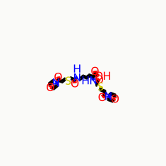 O=C(CSCCC(=O)N1CCOCC1)NCCCCC(NC(=O)CSCCC(=O)N1CCOCC1)C(=O)O